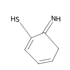 N=C1CC=CC=C1S